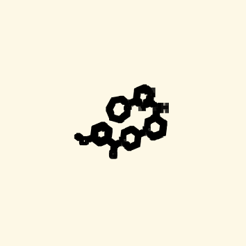 COc1cccc(C(=O)N2CCC(N3CCCC(Nc4nccc(N5CCCCCC5)n4)C3)CC2)c1